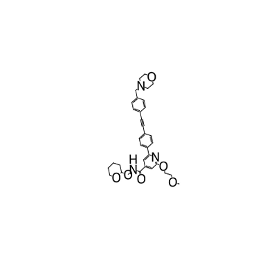 COCCOc1cc(C(=O)NOC2CCCCO2)cc(-c2ccc(C#Cc3ccc(CN4CCOCC4)cc3)cc2)n1